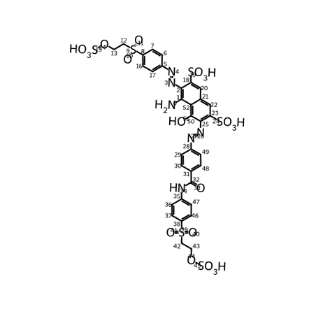 Nc1c(/N=N/c2ccc(S(=O)(=O)CCOS(=O)(=O)O)cc2)c(S(=O)(=O)O)cc2cc(S(=O)(=O)O)c(/N=N/c3ccc(C(=O)Nc4ccc(S(=O)(=O)CCOS(=O)(=O)O)cc4)cc3)c(O)c12